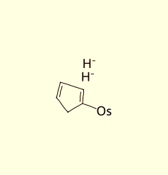 [H-].[H-].[Os][C]1=CC=CC1